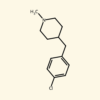 CN1CCC(Cc2ccc(Cl)cc2)CC1